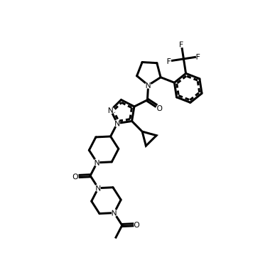 CC(=O)N1CCN(C(=O)N2CCC(n3ncc(C(=O)N4CCCC4c4ccccc4C(F)(F)F)c3C3CC3)CC2)CC1